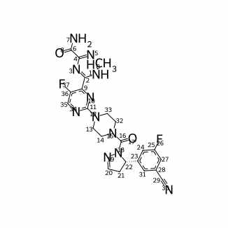 CN/C(=N\C(=N)C(N)=O)c1nc(N2CCN(C(=O)N3N=CC[C@H]3c3cc(F)cc(C#N)c3)CC2)ncc1F